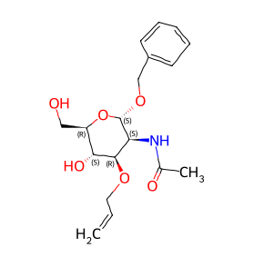 C=CCO[C@H]1[C@H](O)[C@@H](CO)O[C@H](OCc2ccccc2)[C@H]1NC(C)=O